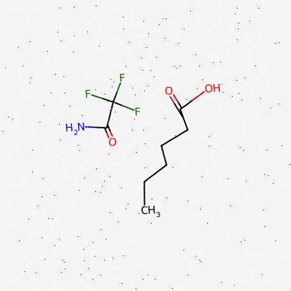 CCCCCC(=O)O.NC(=O)C(F)(F)F